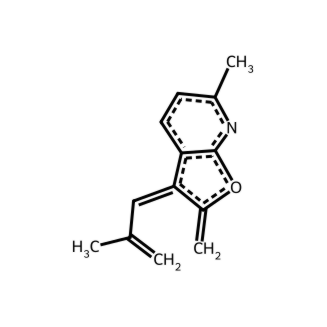 C=C(C)/C=c1\c(=C)oc2nc(C)ccc12